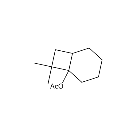 CC(=O)OC12CCCCC1CC2(C)C